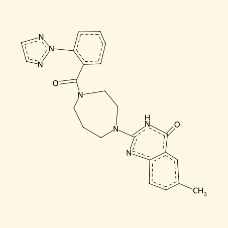 Cc1ccc2nc(N3CCCN(C(=O)c4ccccc4-n4nccn4)CC3)[nH]c(=O)c2c1